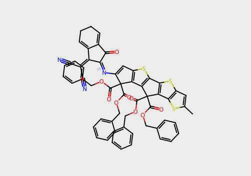 Cc1cc2sc3c(c2s1)C(C(=O)OCc1ccccc1)(C(=O)OCc1ccccc1)c1c-3sc2c1C(C(=O)OCc1ccccc1)(C(=O)OCc1ccccc1)C(/N=C1\C(=O)C3=CCCC=C3C1=C(C#N)C#N)=C2